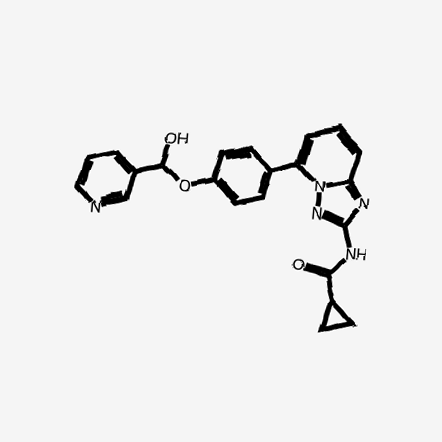 O=C(Nc1nc2cccc(-c3ccc(OC(O)c4cccnc4)cc3)n2n1)C1CC1